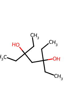 CCC(O)(CC)CC(O)(CC)CC